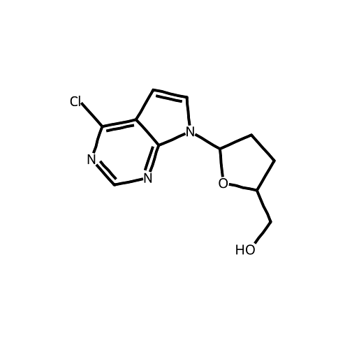 OCC1CCC(n2ccc3c(Cl)ncnc32)O1